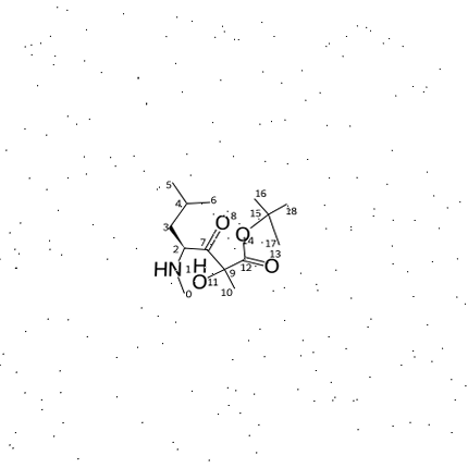 CN[C@@H](CC(C)C)C(=O)C(C)(O)C(=O)OC(C)(C)C